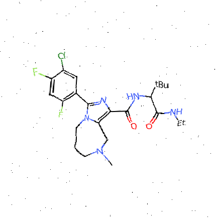 CCNC(=O)C(NC(=O)c1nc(-c2cc(Cl)c(F)cc2F)n2c1CN(C)CCC2)C(C)(C)C